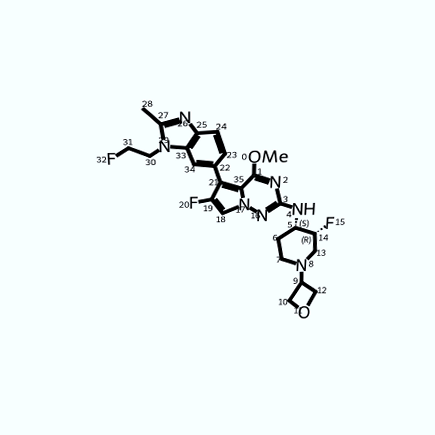 COc1nc(N[C@H]2CCN(C3COC3)C[C@H]2F)nn2cc(F)c(-c3ccc4nc(C)n(CCF)c4c3)c12